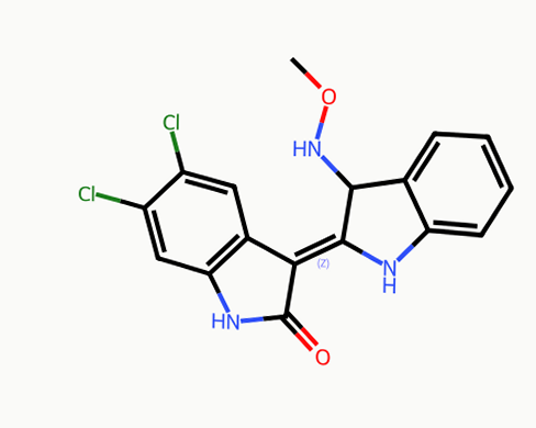 CONC1/C(=C2/C(=O)Nc3cc(Cl)c(Cl)cc32)Nc2ccccc21